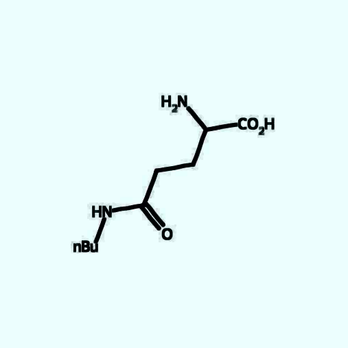 CCCCNC(=O)CCC(N)C(=O)O